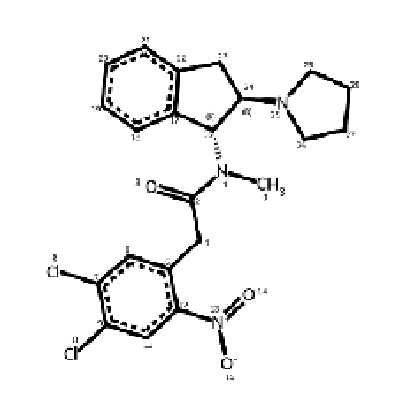 CN(C(=O)Cc1cc(Cl)c(Cl)cc1[N+](=O)[O-])[C@@H]1c2ccccc2C[C@H]1N1CCCC1